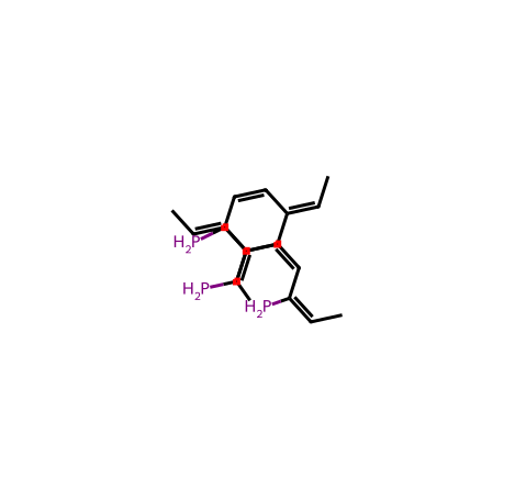 C\C=C(/C=C\C(=C/C)C(\C=C/C(P)=C\C)=C\C)CC(CP)CP